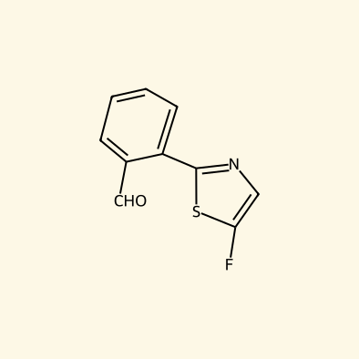 O=Cc1ccccc1-c1ncc(F)s1